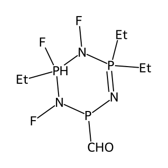 CCP1(CC)=NP(C=O)N(F)[PH](F)(CC)N1F